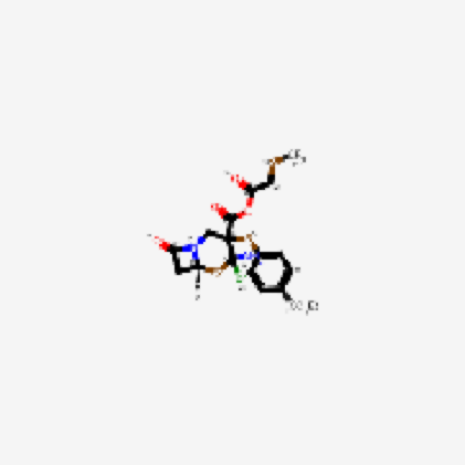 CCOC(=O)c1ccc(SC2(C(=O)OC(=O)CSC(F)(F)F)CN3C(=O)C[C@H]3SC2(N)Br)cc1